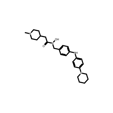 CN1CCC(CC(=O)N(O)Cc2ccc(Nc3ccc(N4CCCCC4)cc3)cc2)CC1